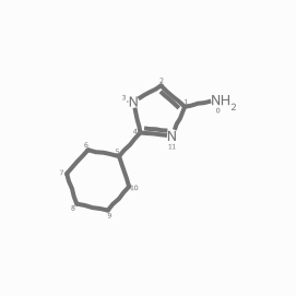 NC1=C[N]C(C2CCCCC2)=N1